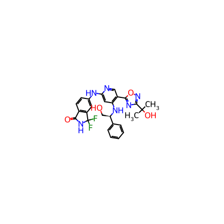 CC(C)(O)c1noc(-c2cnc(Nc3ccc4c(c3)C(F)(F)NC4=O)cc2N[C@H](CO)c2ccccc2)n1